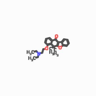 CCN(CC)CCOc1cccc2c1C(C)(C)c1oc3ccccc3c1C2=O